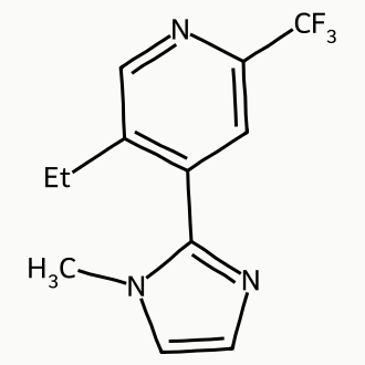 CCc1cnc(C(F)(F)F)cc1-c1nccn1C